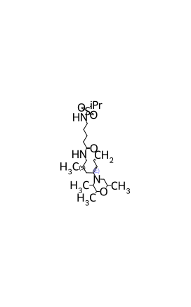 C=C/C=C(\C[C@H](C)CNC(=O)CCCCNS(=O)(=O)C(C)C)N1CC(C)OC(C)C1C